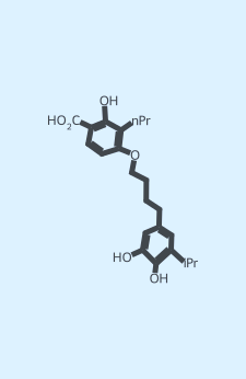 CCCc1c(OCCCCc2cc(O)c(O)c(C(C)C)c2)ccc(C(=O)O)c1O